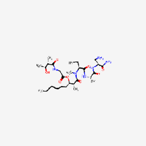 CC[C@@H](C)[C@H](NC(=O)[C@H](CC(C)C)N(C)C(=O)[C@H](C)[C@@H](CCCCCC(F)(F)F)OC(=O)CNC(=O)[C@@H](C)[C@H](C)O)C(=O)N[C@@H](CN)C(N)=O